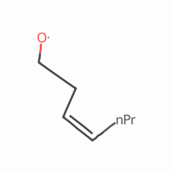 CCC/C=C\CC[O]